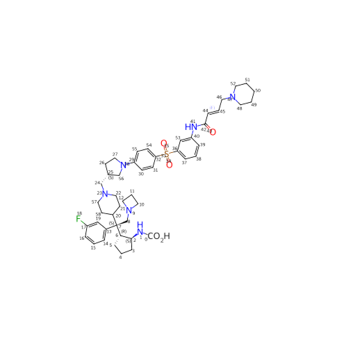 O=C(O)N[C@H]1CCC[C@@H]1[C@](CN1CCC1)(c1cccc(F)c1)C1CCN(C[C@@H]2CCN(c3ccc(S(=O)(=O)c4cccc(NC(=O)/C=C/CN5CCCCC5)c4)cc3)C2)CC1